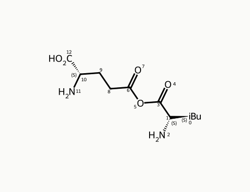 CC[C@H](C)[C@H](N)C(=O)OC(=O)CC[C@H](N)C(=O)O